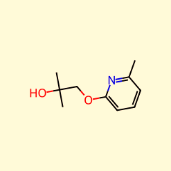 Cc1cccc(OCC(C)(C)O)n1